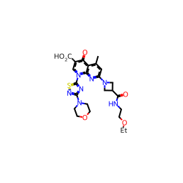 CCOCCNC(=O)C1CN(c2cc(C)c3c(=O)c(C(=O)O)cn(-c4nc(N5CCOCC5)ns4)c3n2)C1